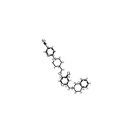 N#Cc1ccc(N2CCC(COc3coc(CN4CCc5ccccc5C4)cc3=O)CC2)nc1